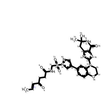 C/C=C/C(=O)CCC(=O)NCS(=O)(=O)n1cc(-c2ccc3c(c2)N(c2nc4c(s2)C(=O)NC(C)(C)C4)CCO3)cn1